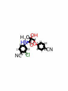 CC(O)(COc1ccc(C#N)cc1)C(=O)Nc1ccc(C#N)c(Cl)c1